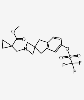 COC(=O)C1(CN2CC3(Cc4ccc(OS(=O)(=O)C(F)(F)F)cc4C3)C2)CC1